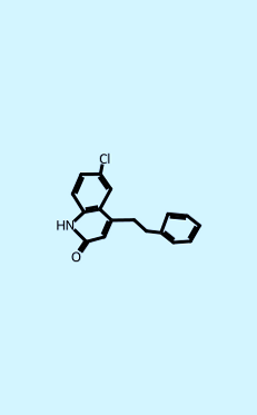 O=c1cc(CCc2ccccc2)c2cc(Cl)ccc2[nH]1